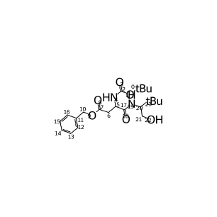 CC(C)(C)OC(=O)NC(CC(=O)OCc1ccccc1)C(=O)NC(CO)C(C)(C)C